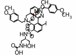 COc1ccc(CN(Cc2ccc(OC)cc2)S(=O)(=O)c2c(S(=O)(=O)N[C@@H](CO)CNC(=O)O)ccc(I)c2-c2nnn(Cc3ccc(OC)cc3)n2)cc1